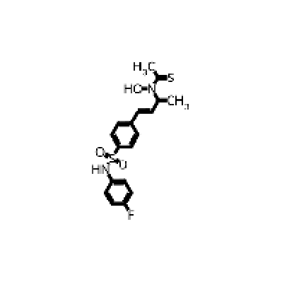 CC(=S)N(O)C(C)C=Cc1ccc(S(=O)(=O)Nc2ccc(F)cc2)cc1